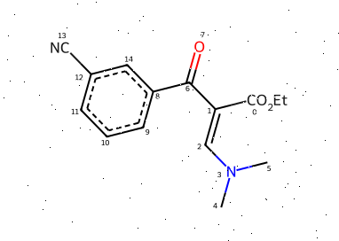 CCOC(=O)C(=CN(C)C)C(=O)c1cccc(C#N)c1